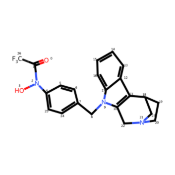 O=C(N(O)c1ccc(Cn2c3c(c4ccccc42)C2CCN(C3)C2)cc1)C(F)(F)F